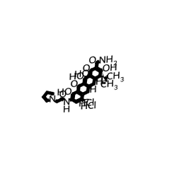 CN(C)[C@@H]1C(O)=C(C(N)=O)C(=O)[C@@]2(O)C(O)=C3C(=O)c4c(O)c(NC(=O)CN5CCCC5)cc(F)c4C[C@H]3C[C@@H]12.Cl.Cl